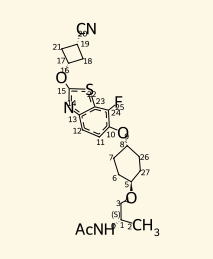 CC(=O)N[C@@H](C)CO[C@H]1CC[C@H](Oc2ccc3nc(O[C@H]4C[C@@H](C#N)C4)sc3c2F)CC1